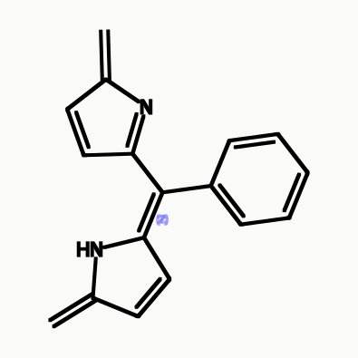 C=C1C=CC(/C(c2ccccc2)=c2/ccc(=C)[nH]2)=N1